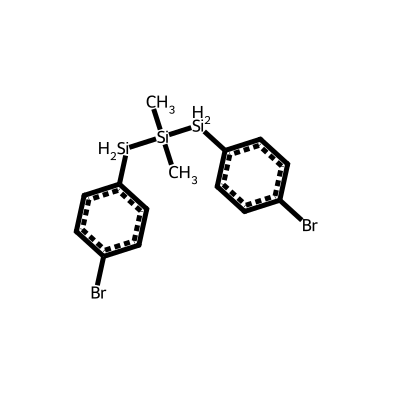 C[Si](C)([SiH2]c1ccc(Br)cc1)[SiH2]c1ccc(Br)cc1